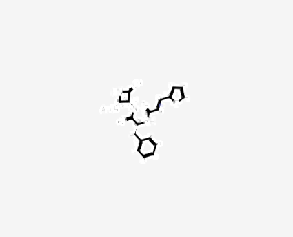 CC(=O)O[C@@H]1NC(=O)[C@H]1NC(=O)[C@H](Cc1ccccc1)NC(=O)/C=C/c1cccs1